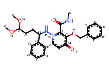 CNC(=O)c1c(OCc2ccccc2)c(=O)ccn1NC(CCC(OC)OC)c1ccccc1